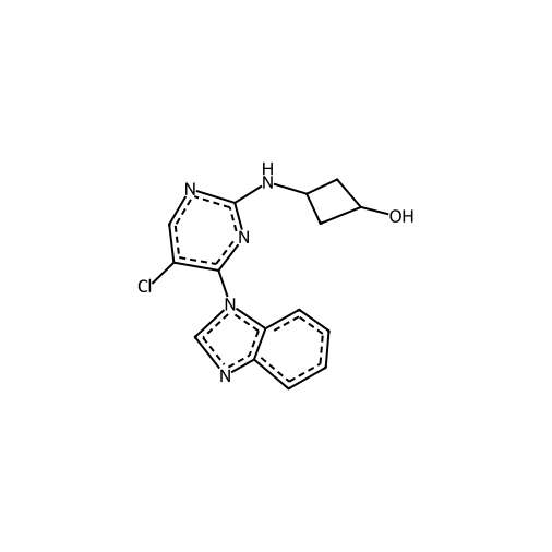 OC1CC(Nc2ncc(Cl)c(-n3cnc4ccccc43)n2)C1